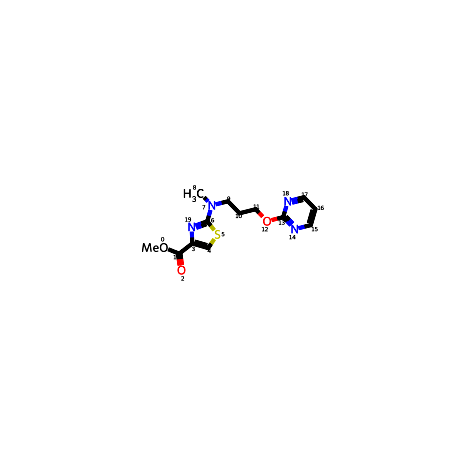 COC(=O)c1csc(N(C)CCCOc2ncccn2)n1